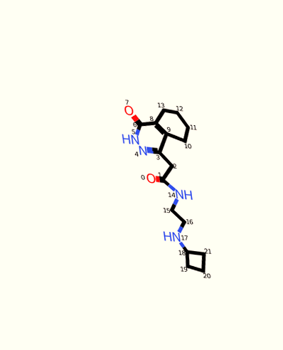 O=C(Cc1n[nH]c(=O)c2c1CCCC2)NCCNC1CCC1